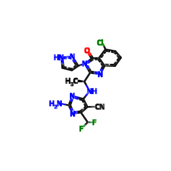 C[C@H](Nc1nc(N)nc(C(F)F)c1C#N)c1nc2cccc(Cl)c2c(=O)n1-c1cc[nH]n1